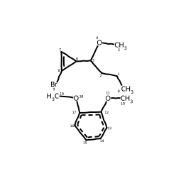 CCCC(OC)C1C=C1Br.COc1ccccc1OC